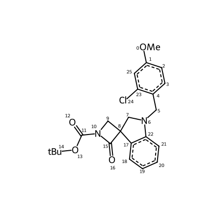 COc1ccc(CN2CC3(CN(C(=O)OC(C)(C)C)C3=O)c3ccccc32)c(Cl)c1